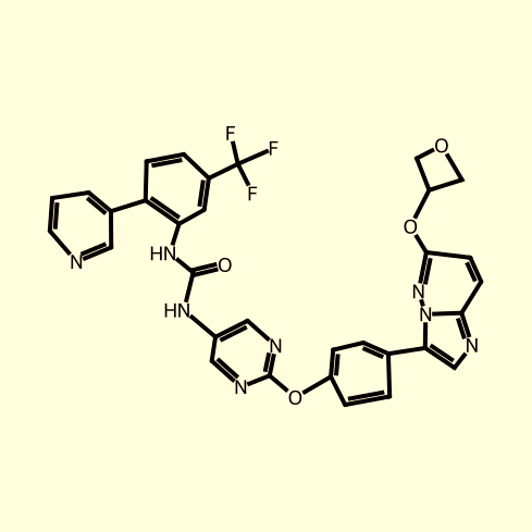 O=C(Nc1cnc(Oc2ccc(-c3cnc4ccc(OC5COC5)nn34)cc2)nc1)Nc1cc(C(F)(F)F)ccc1-c1cccnc1